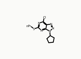 CCCSc1nc(Cl)c2nnn(C3CCCC3)c2n1